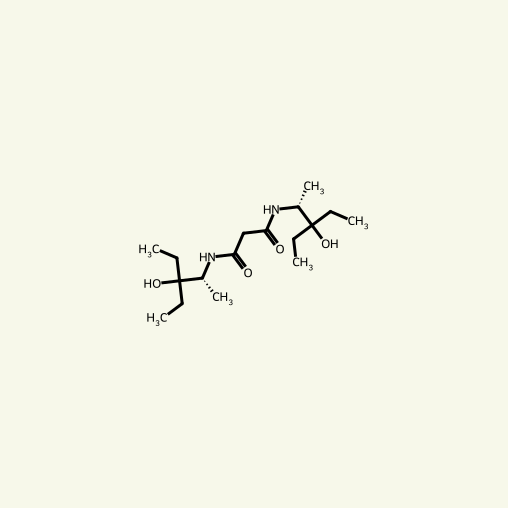 CCC(O)(CC)[C@@H](C)NC(=O)CC(=O)N[C@H](C)C(O)(CC)CC